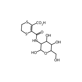 O=C(O)C1=C(C(=O)NC2C(O)OC(CO)C(O)C2O)SCCS1